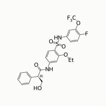 CCOc1cc(NC(=O)[C@@H](CO)c2ccccc2)ccc1S(=O)(=O)Nc1ccc(F)c(OC(F)(F)F)c1